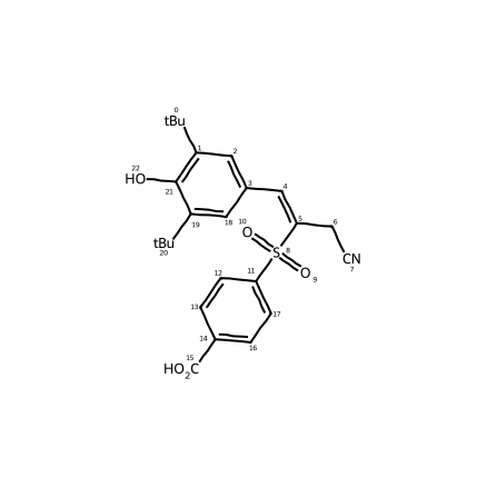 CC(C)(C)c1cc(C=C(CC#N)S(=O)(=O)c2ccc(C(=O)O)cc2)cc(C(C)(C)C)c1O